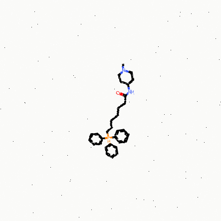 CN1CCC(NC(=O)CCCCCC[PH](c2ccccc2)(c2ccccc2)c2ccccc2)CC1